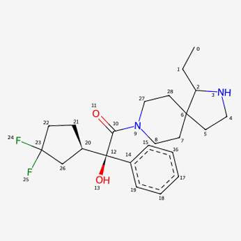 CCC1NCCC12CCN(C(=O)[C@](O)(c1ccccc1)[C@@H]1CCC(F)(F)C1)CC2